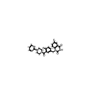 O=C(c1cc(Cn2c(=O)[nH]c(=O)c3cc(F)ccc32)ccc1F)N1CCN(c2ncccn2)CC1